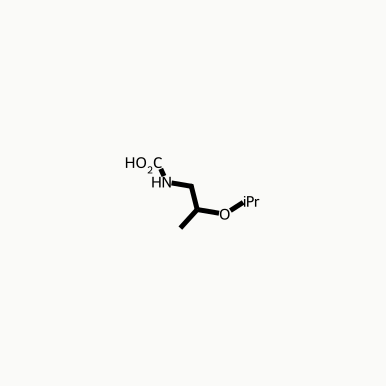 CC(C)OC(C)CNC(=O)O